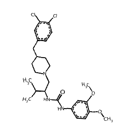 COc1ccc(NC(=O)NC(CN2CCC(Cc3ccc(Cl)c(Cl)c3)CC2)C(C)C)cc1OC